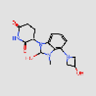 CN1c2c(N3CC(O)C3)cccc2N(C2CCC(=O)NC2=O)C1O